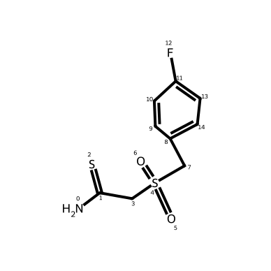 NC(=S)CS(=O)(=O)Cc1ccc(F)cc1